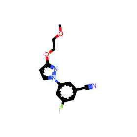 COCCOc1ccn(-c2cc(F)cc(C#N)c2)n1